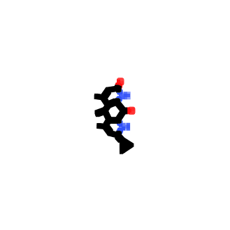 C=c1c2c(C)cc(=C3CC3)[nH]c=2c(=O)c2[nH]c(=O)cc(C)c12